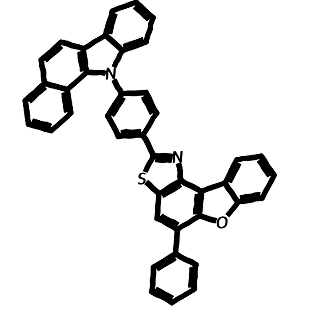 c1ccc(-c2cc3sc(-c4ccc(-n5c6ccccc6c6ccc7ccccc7c65)cc4)nc3c3c2oc2ccccc23)cc1